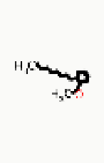 CCCCCCCCCc1ccccc1C1OC1C